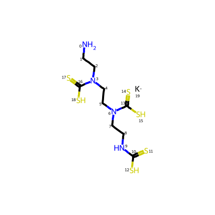 NCCN(CCN(CCNC(=S)S)C(=S)S)C(=S)S.[K]